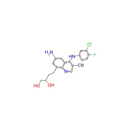 N#Cc1cnc2c(CCC(O)CO)cc(N)cc2c1Nc1ccc(F)c(Cl)c1